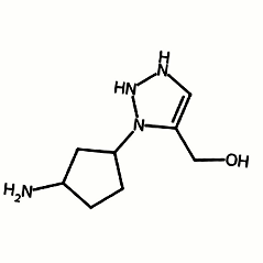 NC1CCC(N2NNC=C2CO)C1